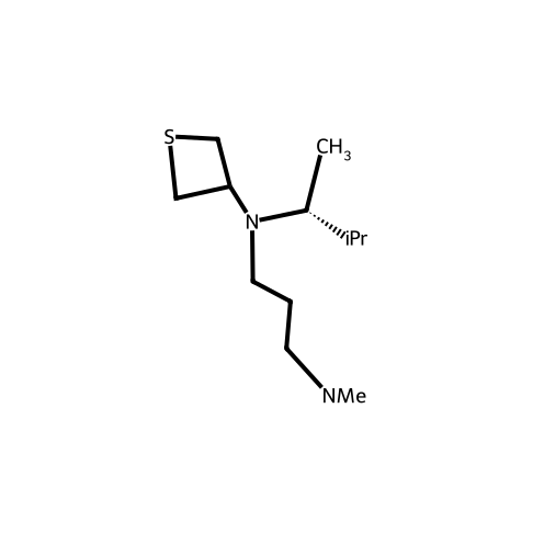 CNCCCN(C1CSC1)[C@H](C)C(C)C